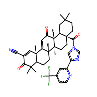 CC1(C)CC[C@]2(C(=O)n3cnc(-c4cc(C(F)(F)F)ccn4)c3)CC[C@]3(C)[C@H](C(=O)C=C4[C@@]5(C)C=C(C#N)C(=O)C(C)(C)C5CC[C@]43C)C2C1